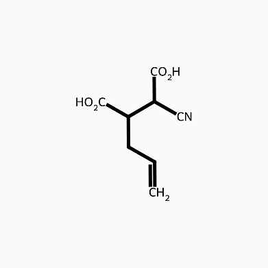 C=CCC(C(=O)O)C(C#N)C(=O)O